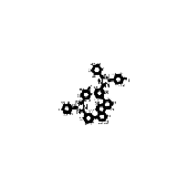 Cc1ccc(-c2nc(-c3ccccc3)nc(-c3cccc(-c4cccc5c4ccc4c(-c6cccc(-c7nc(-c8ccccc8)nc(-c8ccc(C)cc8)n7)c6)cccc45)c3)n2)cc1